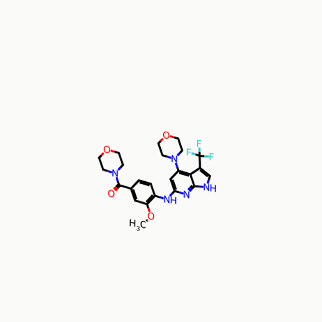 COc1cc(C(=O)N2CCOCC2)ccc1Nc1cc(N2CCOCC2)c2c(C(F)(F)F)c[nH]c2n1